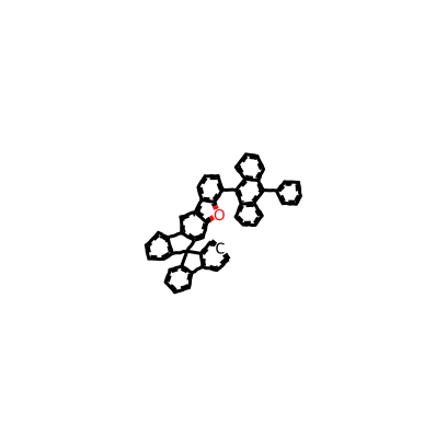 c1ccc(-c2c3ccccc3c(-c3cccc4c3oc3cc5c(cc34)-c3ccccc3C53c4ccccc4-c4ccccc43)c3ccccc23)cc1